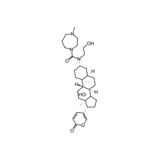 CN1CCCN(C(=O)N(CCO)[C@H]2CC[C@@]3(C)[C@H](CC[C@@H]4[C@@H]3CC[C@]3(C)[C@@H](c5ccc(=O)oc5)CC[C@]43O)C2)CC1